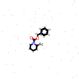 CC(=O)C1CCCCN1C(=O)OCc1ccccc1